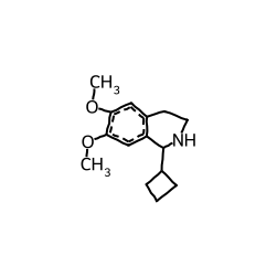 COc1cc2c(cc1OC)C(C1CCC1)NCC2